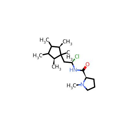 CC1C(C)[C@H](C)C(C)(C[C@@H](Cl)NC(=O)[C@H]2CCCN2C)[C@@H]1C